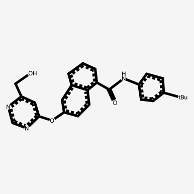 CC(C)(C)c1ccc(NC(=O)c2cccc3cc(Oc4cc(CO)ncn4)ccc23)cc1